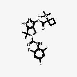 CC1(C)c2[nH]nc(NC(=O)C3(S(C)(C)C)CCC3)c2CN1C(=O)Nc1c(F)cc(F)cc1F